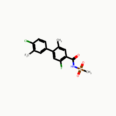 Cc1cc(C(=O)NS(C)(=O)=O)c(F)cc1-c1ccc(Cl)c(C(F)(F)F)c1